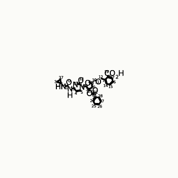 O=C(Nc1ccn([C@@H]2O[C@H](COCc3ccccc3C(=O)O)C3O[C@H](c4ccccc4)OC32)c(=O)n1)NC1CC1